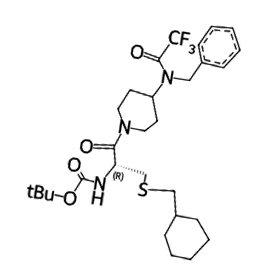 CC(C)(C)OC(=O)N[C@@H](CSCC1CCCCC1)C(=O)N1CCC(N(Cc2ccccc2)C(=O)C(F)(F)F)CC1